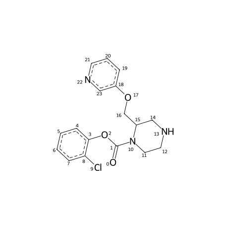 O=C(Oc1ccccc1Cl)N1CCNCC1COc1cccnc1